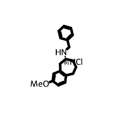 COc1ccc2c(c1)C[C@H](NCc1ccccc1)CCC2.Cl